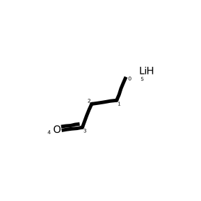 CCCC=O.[LiH]